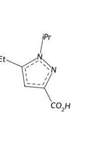 CCc1cc(C(=O)O)nn1C(C)C